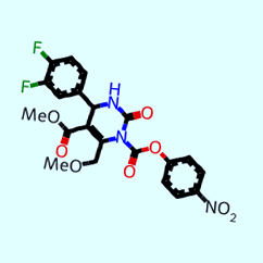 COCC1=C(C(=O)OC)C(c2ccc(F)c(F)c2)NC(=O)N1C(=O)Oc1ccc([N+](=O)[O-])cc1